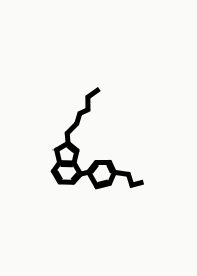 CCCCCCC1=Cc2c(cccc2-c2ccc(CCC)cc2)[CH]1